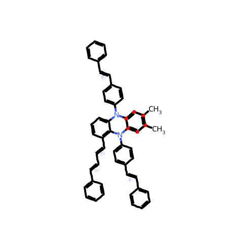 Cc1ccc(N(c2ccc(/C=C/c3ccccc3)cc2)c2cccc(/C=C/C=C/c3ccccc3)c2N(c2ccc(C)cc2)c2ccc(/C=C/c3ccccc3)cc2)cc1